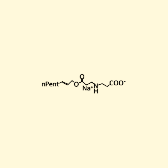 CCCCCC=CCOC(=O)CCNCCC(=O)[O-].[Na+]